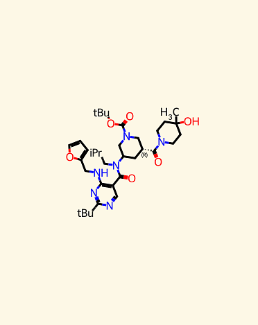 CC(C)CN(C(=O)c1cnc(C(C)(C)C)nc1NCc1ccco1)C1C[C@@H](C(=O)N2CCC(C)(O)CC2)CN(C(=O)OC(C)(C)C)C1